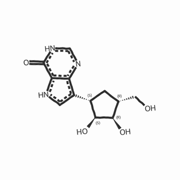 O=c1[nH]cnc2c([C@@H]3C[C@H](CO)[C@@H](O)[C@H]3O)c[nH]c12